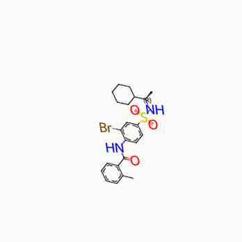 Cc1ccccc1C(=O)Nc1ccc(S(=O)(=O)N[C@H](C)C2CCCCC2)cc1Br